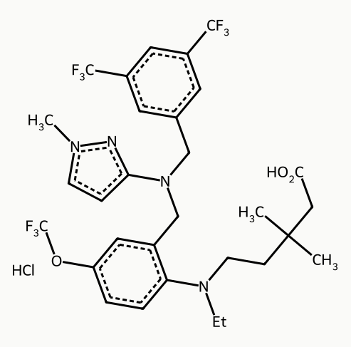 CCN(CCC(C)(C)CC(=O)O)c1ccc(OC(F)(F)F)cc1CN(Cc1cc(C(F)(F)F)cc(C(F)(F)F)c1)c1ccn(C)n1.Cl